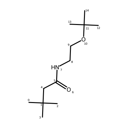 CC(C)(C)CC(=O)NCCOC(C)(C)C